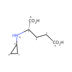 O=C(O)CC[C@H](NC1CC1)C(=O)O